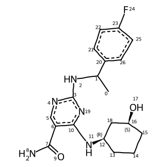 CC(Nc1ncc(C(N)=O)c(N[C@@H]2CCC[C@H](O)C2)n1)c1ccc(F)cc1